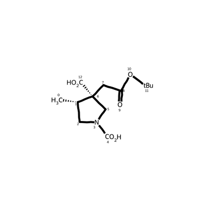 C[C@H]1CN(C(=O)O)C[C@@]1(CC(=O)OC(C)(C)C)C(=O)O